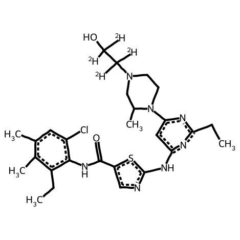 [2H]C([2H])(O)C([2H])([2H])N1CCN(c2cc(Nc3ncc(C(=O)Nc4c(Cl)cc(C)c(C)c4CC)s3)nc(CC)n2)C(C)C1